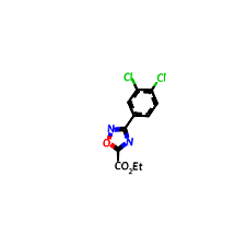 CCOC(=O)c1nc(-c2ccc(Cl)c(Cl)c2)no1